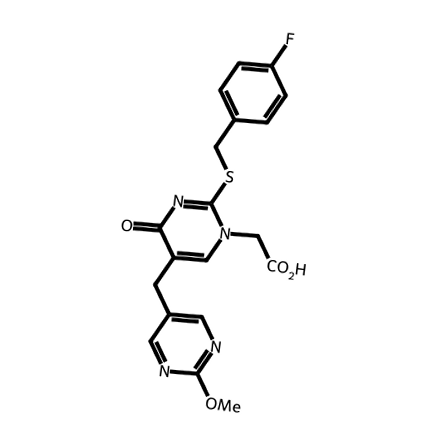 COc1ncc(Cc2cn(CC(=O)O)c(SCc3ccc(F)cc3)nc2=O)cn1